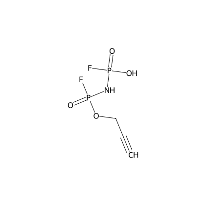 C#CCOP(=O)(F)NP(=O)(O)F